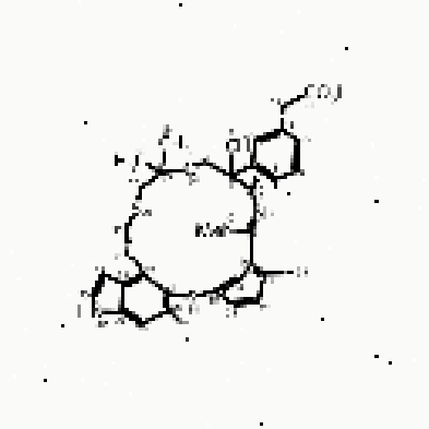 CN/C1=N\C(=N)[C@@](C)(c2cccc(CC(=O)O)c2)CCC(C)(C)CSCCc2c(c(F)cc3[nH]ccc23)Sc2ccc(F)c1c2